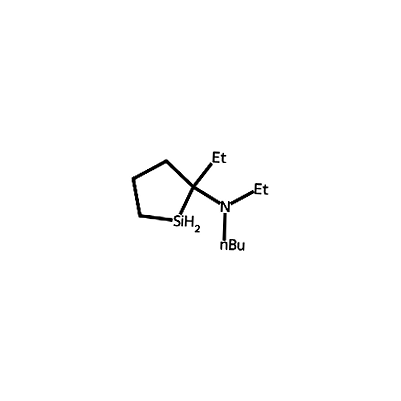 CCCCN(CC)C1(CC)CCC[SiH2]1